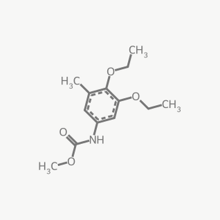 CCOc1cc(NC(=O)OC)cc(C)c1OCC